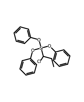 CCC(Cl)[Si](Oc1ccccc1)(Oc1ccccc1)Oc1ccccc1